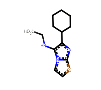 O=C(O)CNc1c(C2CCCCC2)nc2sccn12